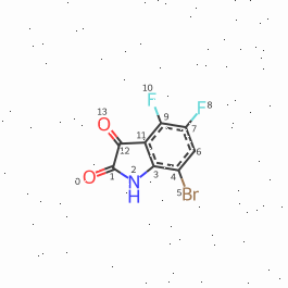 O=C1Nc2c(Br)cc(F)c(F)c2C1=O